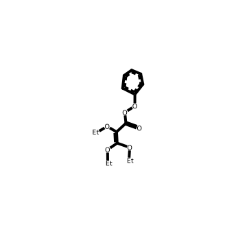 CCOC(OCC)=C(OCC)C(=O)OOc1ccccc1